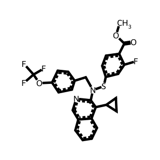 COC(=O)c1ccc(SN(Cc2ccc(OC(F)(F)F)cc2)c2ncc3ccccc3c2C2CC2)cc1F